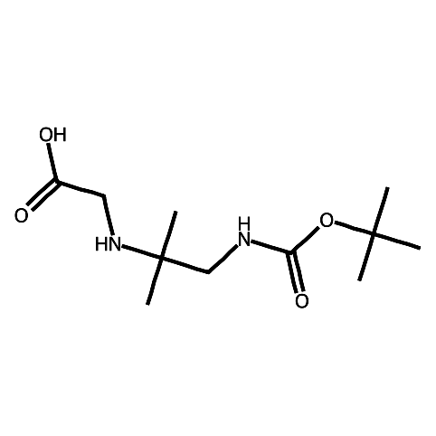 CC(C)(CNC(=O)OC(C)(C)C)NCC(=O)O